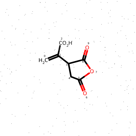 C=C(C(=O)O)C1CC(=O)OC1=O